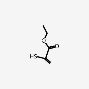 C=C(S)C(=O)OCC